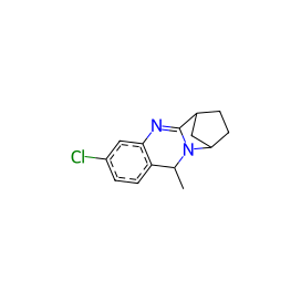 CC1c2ccc(Cl)cc2N=C2C3CCC(C3)N21